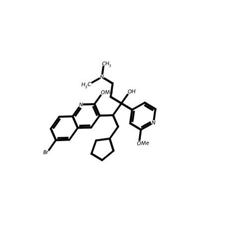 COc1cc(C(O)(CCN(C)C)C(CC2CCCC2)c2cc3cc(Br)ccc3nc2OC)ccn1